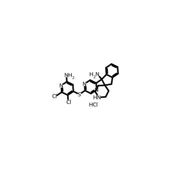 Cl.Nc1cc(Sc2cnc(C3(N)c4ccccc4CC34CCNCC4)cn2)c(Cl)c(Cl)n1